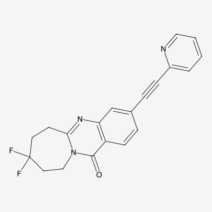 O=c1c2ccc(C#Cc3ccccn3)cc2nc2n1CCC(F)(F)CC2